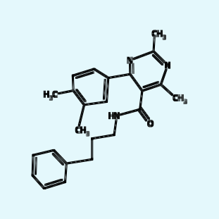 Cc1nc(C)c(C(=O)NCCCc2ccccc2)c(-c2ccc(C)c(C)c2)n1